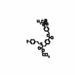 CS(=O)(=O)Oc1ccc(COC(=O)c2ccc(CC(SCCc3ccc(F)cc3)C(=O)OCC(Cl)(Cl)Cl)cc2)cc1